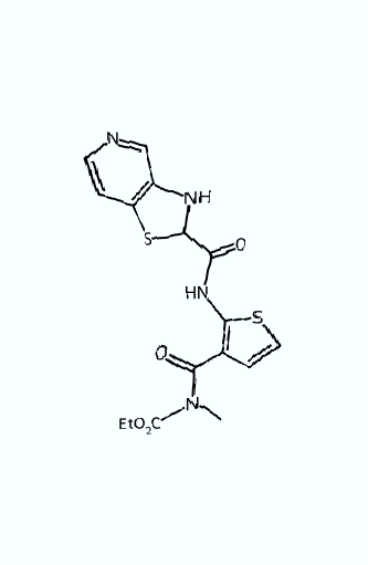 CCOC(=O)N(C)C(=O)c1ccsc1NC(=O)C1Nc2cnccc2S1